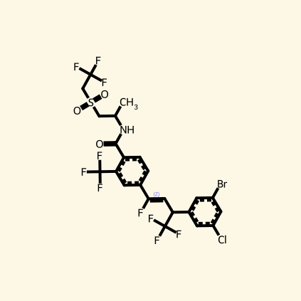 CC(CS(=O)(=O)CC(F)(F)F)NC(=O)c1ccc(/C(F)=C/C(c2cc(Cl)cc(Br)c2)C(F)(F)F)cc1C(F)(F)F